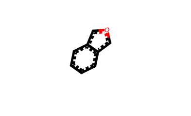 [c]1cccc2cocc12